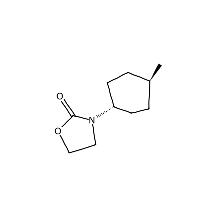 C[C@H]1CC[C@H](N2CCOC2=O)CC1